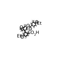 CCOc1ccc(C(=O)Oc2cc(-c3cc(OCC)ccc3C(=O)O)c3ccoc3c2)cc1